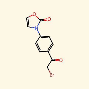 O=C(CBr)c1ccc(-n2ccoc2=O)cc1